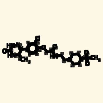 CC1NC(=O)NN=C1c1ccc(OCC(=O)NCCN2CCN(S(C)(=O)=O)CC2)c(Cl)c1